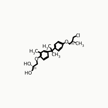 Cc1cc(C(C)(C)c2ccc(OC[C@H](C)CCl)cc2)ccc1OC[C@@H](O)CO